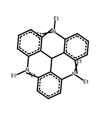 CCN(CC)c1cccc(C)c1C(c1c(C)cccc1N(CC)CC)c1c(C)cccc1N(CC)CC